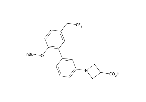 CCCCOc1ccc(CC(F)(F)F)cc1-c1cccc(N2CC(C(=O)O)C2)c1